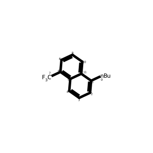 CCCCc1cccc2c(C(F)(F)F)cccc12